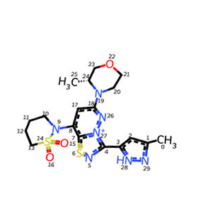 Cc1cc(-c2nsc3c(N4CCCCS4(=O)=O)cc(N4CCOC[C@H]4C)n[n+]23)[nH]n1